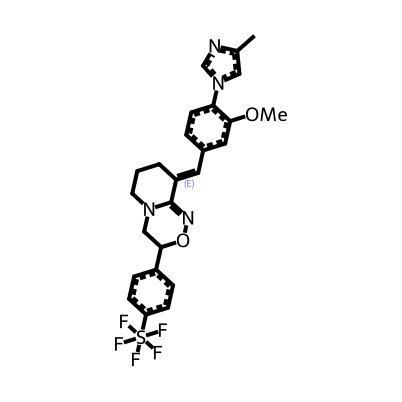 COc1cc(/C=C2\CCCN3CC(c4ccc(S(F)(F)(F)(F)F)cc4)ON=C23)ccc1-n1cnc(C)c1